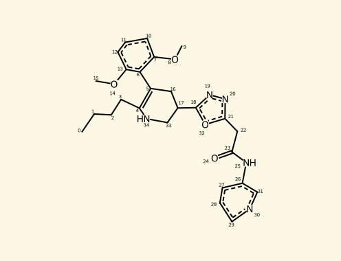 CCCCC1=C(c2c(OC)cccc2OC)CC(c2nnc(CC(=O)Nc3cccnc3)o2)CN1